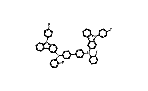 Fc1ccc(-n2c3ccccc3c3cc(N(c4ccc(-c5ccc(N(c6ccc7c(c6)c6ccccc6n7-c6ccc(F)cc6)c6ccccc6F)cc5)cc4)c4ccccc4F)ccc32)cc1